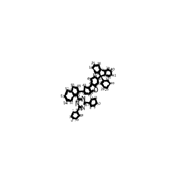 c1ccc(-c2nc(-c3ccccc3)nc(-c3c(-c4ccc5oc6cc(C7(c8ccccc8)c8ccccc8-c8ccccc87)ccc6c5c4)ccc4ccccc34)n2)cc1